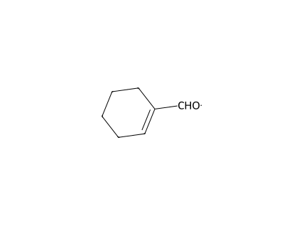 O=[C]C1=CCCCC1